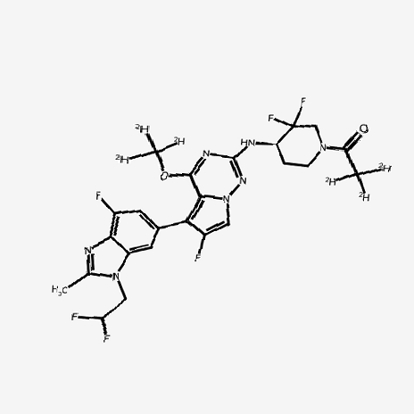 [2H]C([2H])([2H])Oc1nc(N[C@@H]2CCN(C(=O)C([2H])([2H])[2H])CC2(F)F)nn2cc(F)c(-c3cc(F)c4nc(C)n(CC(F)F)c4c3)c12